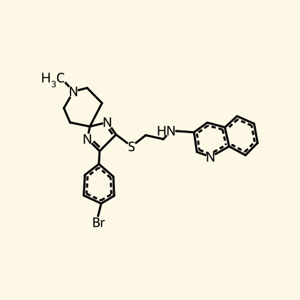 CN1CCC2(CC1)N=C(SCCNc1cnc3ccccc3c1)C(c1ccc(Br)cc1)=N2